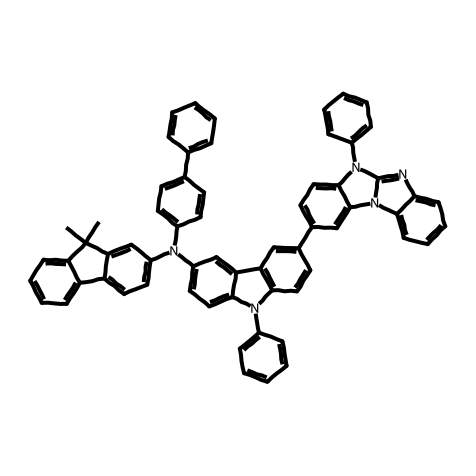 CC1(C)c2ccccc2-c2ccc(N(c3ccc(-c4ccccc4)cc3)c3ccc4c(c3)c3cc(-c5ccc6c(c5)n5c7ccccc7nc5n6-c5ccccc5)ccc3n4-c3ccccc3)cc21